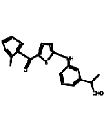 Cc1ccccc1C(=O)c1cnc(Nc2cccc(C(C)C=O)c2)s1